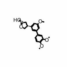 COc1cc(-c2ccc(OC)c(OC)c2)cc([C@H]2COB(O)C2)c1